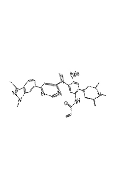 C=CC(=O)Nc1cc(Nc2cc(-c3ccc4c(C)nn(C)c4c3)ncn2)c(OC)cc1N1CC(C)N(C)C(C)C1